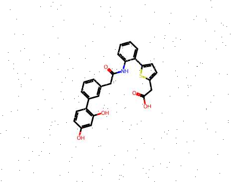 O=C(O)Cc1ccc(-c2ccccc2NC(=O)Cc2cccc(-c3ccc(O)cc3O)c2)s1